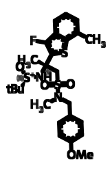 COc1ccc(CN(C)S(=O)(=O)C[C@](C)(N[S@+]([O-])C(C)(C)C)c2sc3c(C)cccc3c2F)cc1